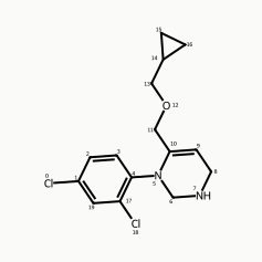 Clc1ccc(N2CNCC=C2COCC2CC2)c(Cl)c1